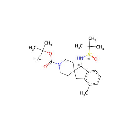 Cc1cccc2c1CC1(CCN(C(=O)OC(C)(C)C)CC1)[C@@H]2N[S@+]([O-])C(C)(C)C